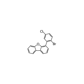 Clc1ccc(Br)c(-c2cccc3c2oc2ccccc23)c1